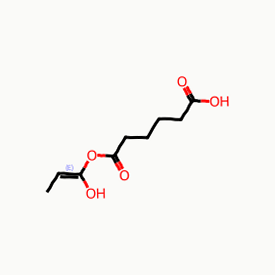 C/C=C(\O)OC(=O)CCCCC(=O)O